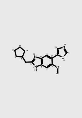 COc1cc2[nH]c(CC3CCCC3)nc2cc1-c1cnco1